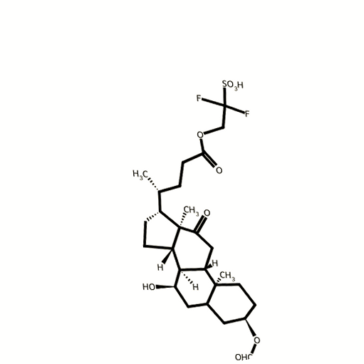 C[C@H](CCC(=O)OCC(F)(F)S(=O)(=O)O)[C@H]1CC[C@H]2[C@@H]3[C@H](O)CC4C[C@H](OC=O)CC[C@]4(C)[C@H]3CC(=O)[C@]12C